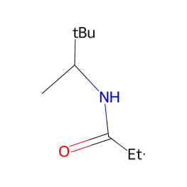 C[CH]C(=O)NC(C)C(C)(C)C